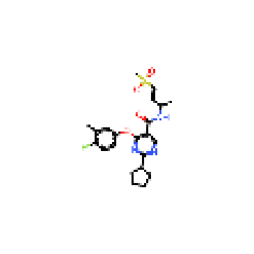 Cc1cc(Oc2nc(C3CCCC3)ncc2C(=O)NC(C)C=CS(C)(=O)=O)ccc1F